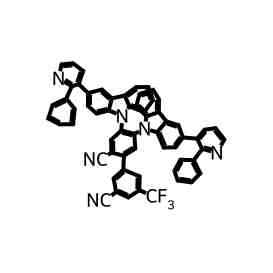 N#Cc1cc(-c2cc(-n3c4ccccc4c4cc(-c5cccnc5-c5ccccc5)ccc43)c(-n3c4ccccc4c4cc(-c5cccnc5-c5ccccc5)ccc43)cc2C#N)cc(C(F)(F)F)c1